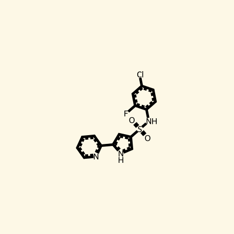 O=S(=O)(Nc1ccc(Cl)cc1F)c1c[nH]c(-c2ccccn2)c1